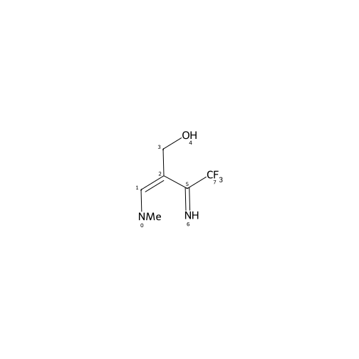 CN/C=C(/CO)C(=N)C(F)(F)F